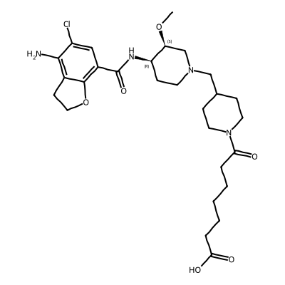 CO[C@H]1CN(CC2CCN(C(=O)CCCCCC(=O)O)CC2)CC[C@H]1NC(=O)c1cc(Cl)c(N)c2c1OCC2